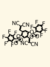 N#CC(C#N)=Cc1cc(OS(=O)(=O)c2c(F)c(F)c(F)c(F)c2F)c(C=C(C#N)C#N)cc1OS(=O)(=O)c1c(F)c(F)c(F)c(F)c1F